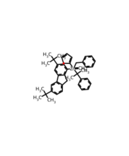 [CH2]=[Zr]([CH2]c1ccccc1)([C]1=CC=CC1)([c]1cc(C(C)(C)C)cc2c1Cc1ccc(C(C)(C)C)cc1-2)[C](C)(C)c1ccccc1